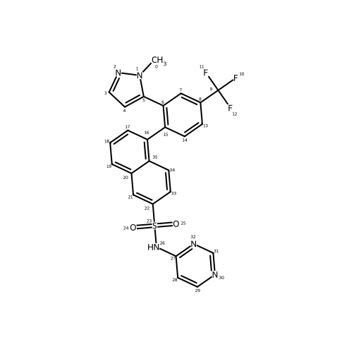 Cn1nccc1-c1cc(C(F)(F)F)ccc1-c1cccc2cc(S(=O)(=O)Nc3ccncn3)ccc12